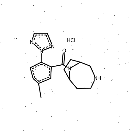 Cc1ccc(-n2nccn2)c(C(=O)N2C3CCNCC2CC3)c1.Cl